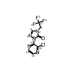 O=c1n(CC(F)(F)F)cnn1-c1nccnc1Cl